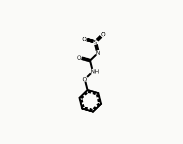 O=C(N=S(=O)=O)NOc1ccccc1